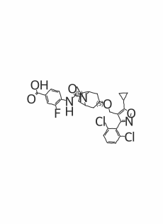 C[C@@H]1CC2C[C@H](OCc3c(-c4c(Cl)cccc4Cl)noc3C3CC3)CC1N2C(=O)Nc1ccc(C(=O)O)cc1F